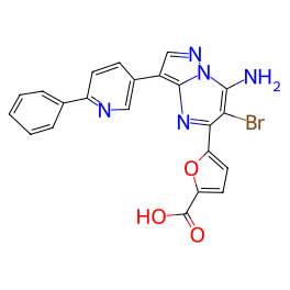 Nc1c(Br)c(-c2ccc(C(=O)O)o2)nc2c(-c3ccc(-c4ccccc4)nc3)cnn12